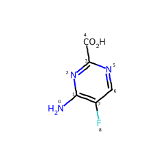 Nc1nc(C(=O)O)ncc1F